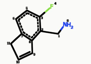 NCc1c(F)ccc2c1C=CC2